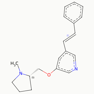 CN1CCC[C@H]1COc1cncc(/C=C/c2ccccc2)c1